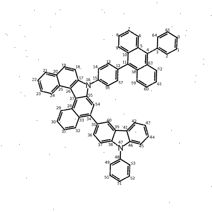 c1ccc(-c2c3ccccc3c(-c3ccc(-n4c5ccc6ccccc6c5c5c6ccccc6c(-c6ccc7c(c6)c6ccccc6n7-c6ccccc6)cc54)cc3)c3ccccc23)cc1